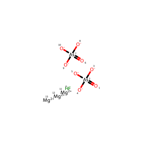 F.O=[As]([O-])([O-])[O-].O=[As]([O-])([O-])[O-].[Mg+2].[Mg+2].[Mg+2]